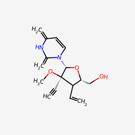 C#C[C@@]1(OC)C(C=C)[C@@H](CO)O[C@H]1N1C=CC(=C)NC1=C